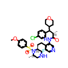 COc1ccc(S(=O)(=O)N2[C@@H](CCc3c(F)cncc3NC(=O)[C@@H](C)C(c3ccc(Cl)cc3)C3CCOCC3)CNC[C@@H]2C)cc1